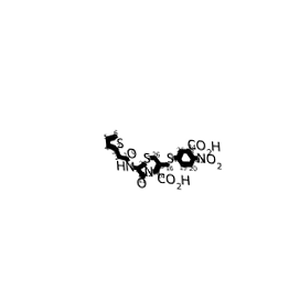 O=C(Cc1cccs1)NC1C(=O)N2C(C(=O)O)=C(CSc3ccc([N+](=O)[O-])c(C(=O)O)c3)CSC12